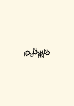 c1ccc(-c2nnn(-c3cncc(Oc4cccnc4)c3)n2)nc1